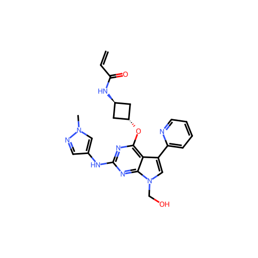 C=CC(=O)N[C@H]1C[C@H](Oc2nc(Nc3cnn(C)c3)nc3c2c(-c2ccccn2)cn3CO)C1